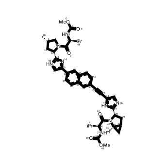 COC(=O)N[C@H](C(=O)N1C[C@@H](C)C[C@H]1c1nc(-c2ccc3cc(C#Cc4cnc([C@@H]5CC6C[C@H]6N5C(=O)[C@@H](NC(=O)OC)C(C)C)[nH]4)ccc3c2)c[nH]1)C(C)C